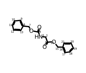 O=C(CNC(=O)OCc1ccccc1)OCc1ccccc1